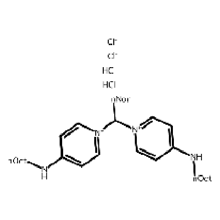 CCCCCCCCCC([n+]1ccc(NCCCCCCCC)cc1)[n+]1ccc(NCCCCCCCC)cc1.Cl.Cl.[Cl-].[Cl-]